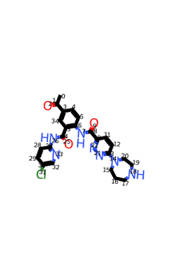 CC(=O)c1ccc(NC(=O)c2ccc(N3CCCNCC3)nn2)c(C(=O)Nc2ccc(Cl)cn2)c1